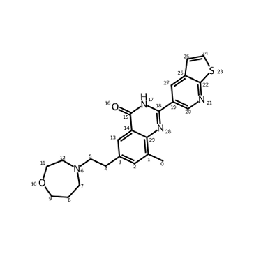 Cc1cc(CCN2CCCOCC2)cc2c(=O)[nH]c(-c3cnc4sccc4c3)nc12